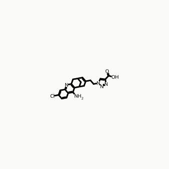 Nc1c2c(nc3cc(Cl)ccc13)CC1C=C(CCn3cc(C(=O)O)nn3)CC2C1